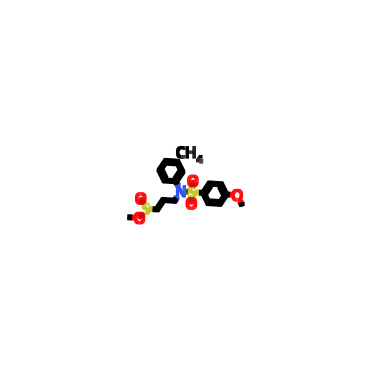 C.COc1ccc(S(=O)(=O)N(CCCS(=O)OC)c2ccccc2)cc1